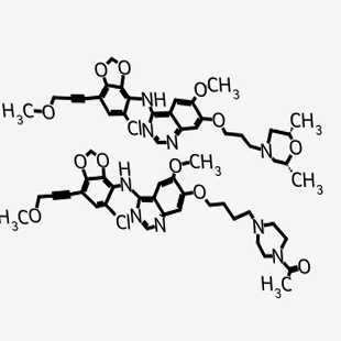 COCC#Cc1cc(Cl)c(Nc2ncnc3cc(OCCCCN4CCN(C(C)=O)CC4)c(OC)cc23)c2c1OCO2.COCC#Cc1cc(Cl)c(Nc2ncnc3cc(OCCCN4C[C@@H](C)O[C@@H](C)C4)c(OC)cc23)c2c1OCO2